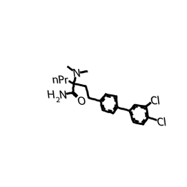 CCCC(CCc1ccc(-c2ccc(Cl)c(Cl)c2)cc1)(C(N)=O)N(C)C